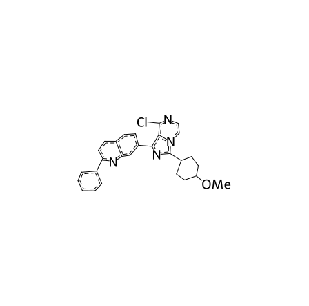 COC1CCC(c2nc(-c3ccc4ccc(-c5ccccc5)nc4c3)c3c(Cl)nccn23)CC1